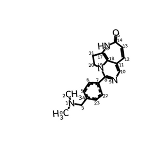 CN(C)Cc1ccc(C2=NC=C3C=CC(=O)NC4=C3N2CC4)cc1